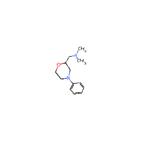 CN(C)CC1CN(c2c[c]ccc2)CCO1